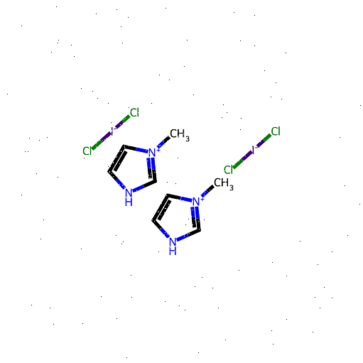 C[n+]1cc[nH]c1.C[n+]1cc[nH]c1.Cl[I-]Cl.Cl[I-]Cl